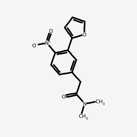 CN(C)C(=O)Cc1ccc([N+](=O)[O-])c(-c2ccco2)c1